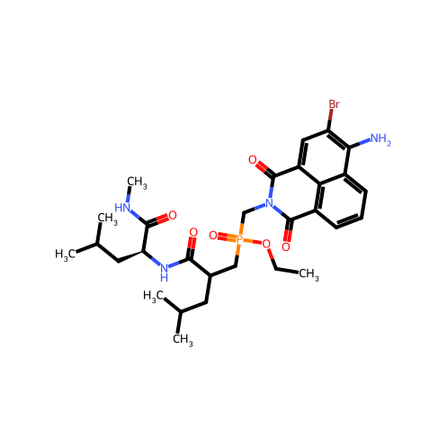 CCOP(=O)(CC(CC(C)C)C(=O)N[C@@H](CC(C)C)C(=O)NC)CN1C(=O)c2cccc3c(N)c(Br)cc(c23)C1=O